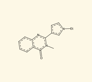 CCn1ccc(-c2nc3ccccc3c(=O)n2C)c1